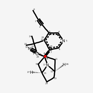 CC#Cc1cncc([C@@]2(C#N)C[C@H]3CC[C@@H](C2)N3C(=O)OC(C)(C)C)c1